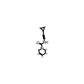 O=C(NC#CC1CC1)N1CC=CCC1